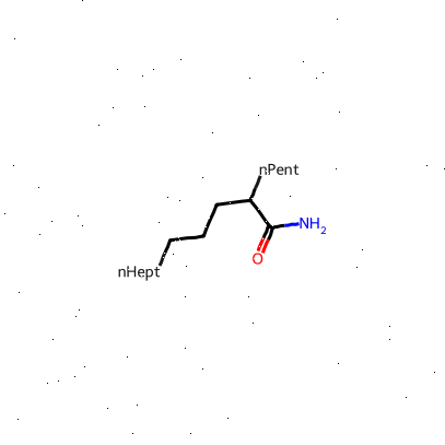 CCCCCCCCCCC(CCCCC)C(N)=O